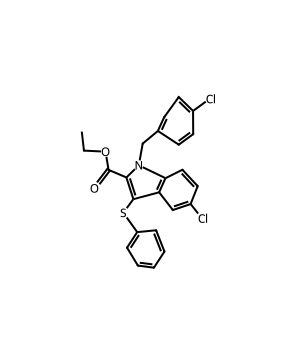 CCOC(=O)c1c(Sc2ccccc2)c2cc(Cl)ccc2n1Cc1ccc(Cl)cc1